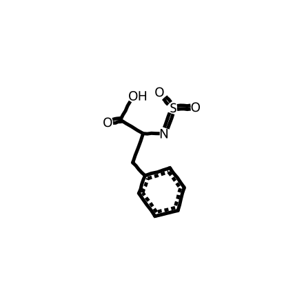 O=C(O)C(Cc1ccccc1)N=S(=O)=O